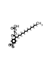 CCCCCCCCCCCCCCC(C(=O)OCOC(=O)O)c1ccc([N+](=O)[O-])cc1